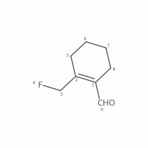 O=CC1=C(CF)CCCC1